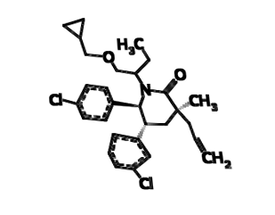 C=CC[C@@]1(C)C[C@H](c2cccc(Cl)c2)[C@@H](c2ccc(Cl)cc2)N(C(CC)COCC2CC2)C1=O